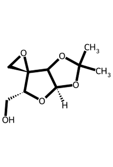 CC1(C)OC2[C@H](O[C@H](CO)[C@@]23CO3)O1